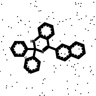 c1ccc(C2(c3ccccc3)N=C(c3ccc4ccccc4c3)c3ccccc3N2)cc1